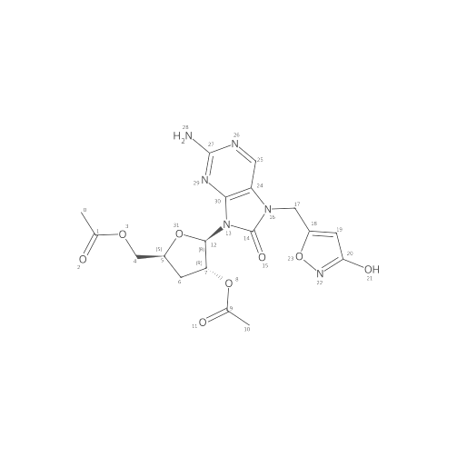 CC(=O)OC[C@@H]1C[C@@H](OC(C)=O)[C@H](n2c(=O)n(Cc3cc(O)no3)c3cnc(N)nc32)O1